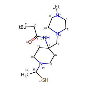 CCN1CCN(CC2(NC(=O)CC(C)(C)C)CCN(C(C)S)CC2)CC1